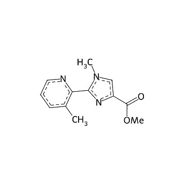 COC(=O)c1cn(C)c(-c2ncccc2C)n1